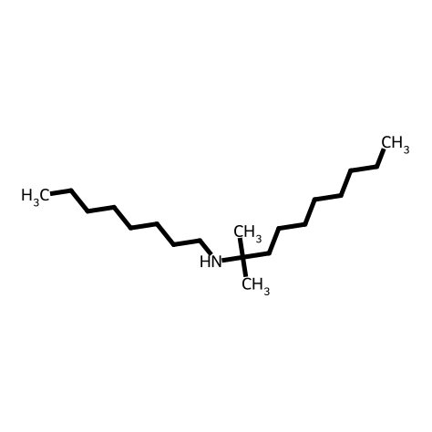 CCCCCCCCNC(C)(C)CCCCCCCC